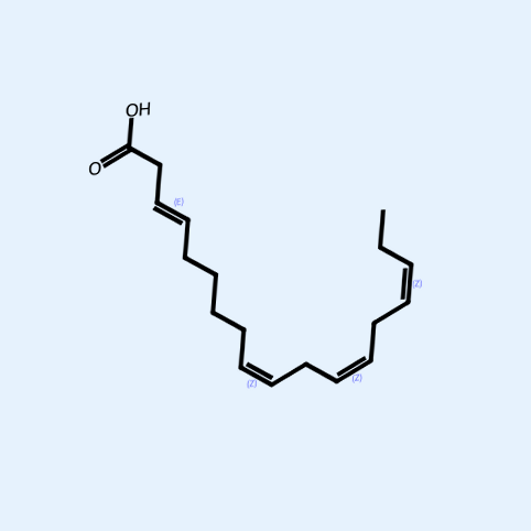 CC/C=C\C/C=C\C/C=C\CCCC/C=C/CC(=O)O